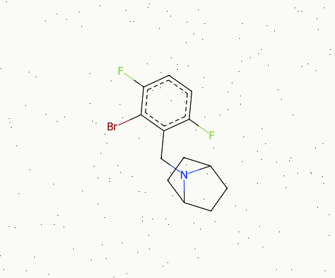 Fc1ccc(F)c(CN2C3CCC2CC3)c1Br